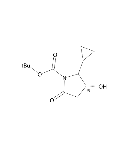 CC(C)(C)OC(=O)N1C(=O)C[C@@H](O)C1C1CC1